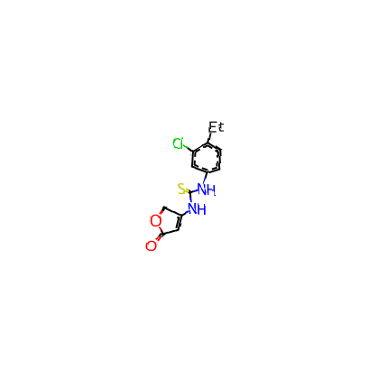 CCc1ccc(NC(=S)NC2=CC(=O)OC2)cc1Cl